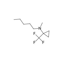 CCCCCN(C)C1(C(F)(F)F)CC1